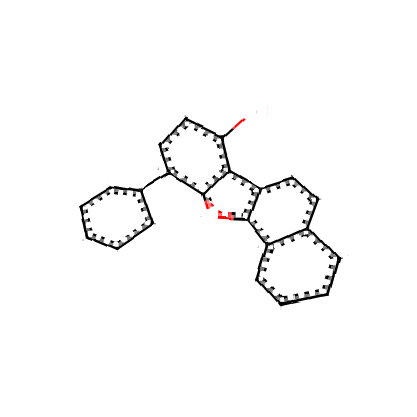 Oc1ccc(-c2ccccc2)c2oc3c4ccccc4ccc3c12